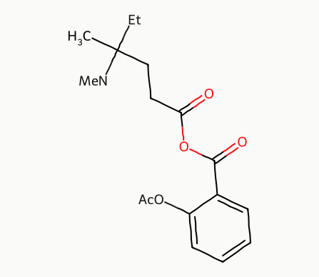 CCC(C)(CCC(=O)OC(=O)c1ccccc1OC(C)=O)NC